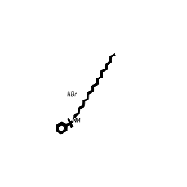 Br.CCCCCCCCCCCCCCCCCCNC(C)(C)c1ccccc1